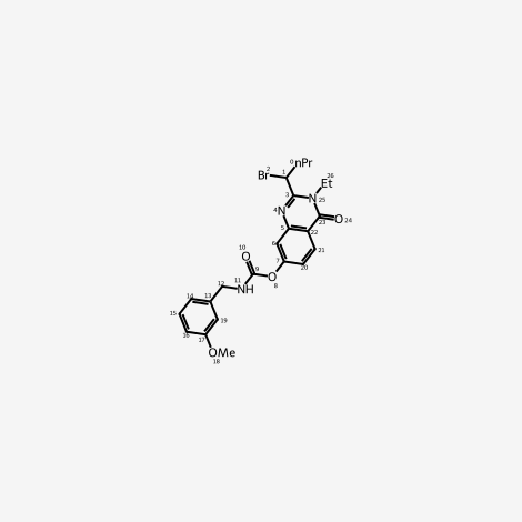 CCCC(Br)c1nc2cc(OC(=O)NCc3cccc(OC)c3)ccc2c(=O)n1CC